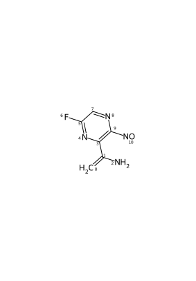 C=C(N)c1nc(F)cnc1N=O